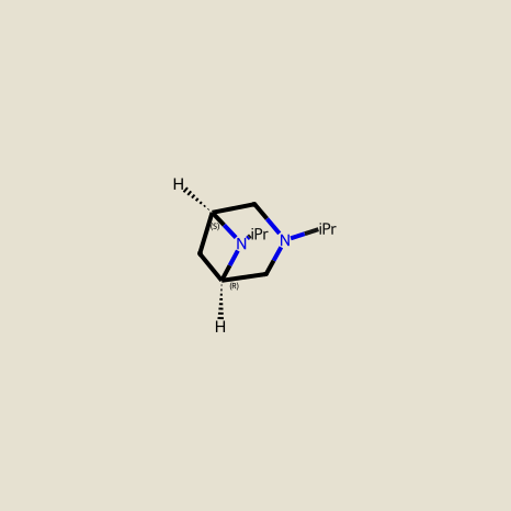 CC(C)N1C[C@H]2C[C@@H](C1)N2C(C)C